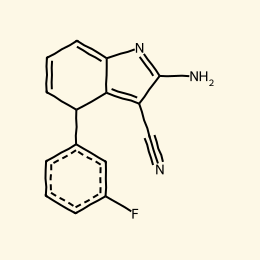 N#CC1=C2C(=CC=CC2c2cccc(F)c2)N=C1N